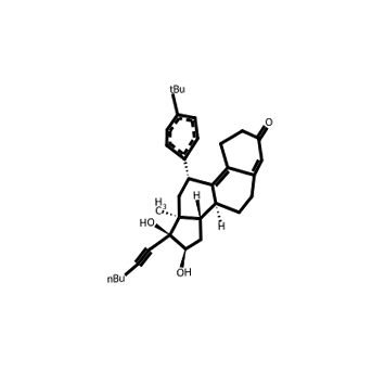 CCCCC#C[C@@]1(O)[C@H](O)C[C@H]2[C@@H]3CCC4=CC(=O)CCC4=C3[C@@H](c3ccc(C(C)(C)C)cc3)C[C@@]21C